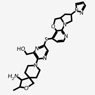 CC1OCC2(CCN(c3ncc(Sc4ccnc5c4OCC4CC(n6cccn6)CN54)nc3CO)CC2)C1N